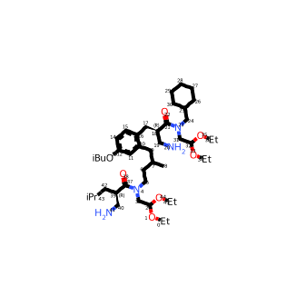 CCOC(CN(CCC(C)Cc1cc(OCC(C)C)ccc1C[C@H](CN)C(=O)N(CC1CCCCC1)CC(OCC)OCC)C(=O)[C@@H](CN)CC(C)C)OCC